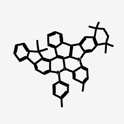 Cc1ccc(N2B3c4cc(C)ccc4-n4c5cc6c(cc5c5c7ccccc7c(c3c54)-c3c2ccc2c3C(C)(C)c3ccccc3-2)C(C)(C)CCC6(C)C)cc1